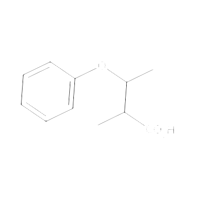 CC(Oc1ccccc1)C(C)C(=O)O